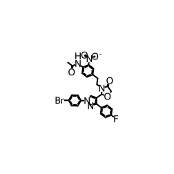 CC(=O)Nc1ccc(CCN2C(=O)COC2c2cn(-c3ccc(Br)cc3)nc2-c2ccc(F)cc2)cc1[N+](=O)[O-]